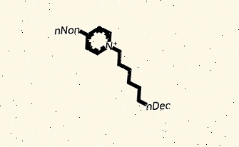 CCCCCCCCCCCCCCCC[n+]1ccc(CCCCCCCCC)cc1